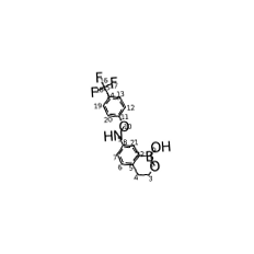 OB1OCCc2ccc(NOc3ccc(C(F)(F)F)cc3)cc21